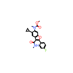 CNC(=O)c1c(-c2ccc(F)cc2)oc2cc(N(C)C(=O)OC)c(C3CC3)cc12